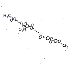 C/C=C/C(=O)OCCCCCCOc1c([N+](=O)[O-])cc(C(=O)OCCCCCCOC(=O)/C=C/c2ccc(OC(=O)c3ccc(OCCCC(F)(F)F)cc3)cc2)cc1[N+](=O)[O-]